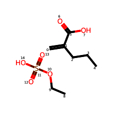 C=C(CCC)C(=O)O.CCOS(=O)(=O)O